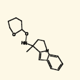 CC1(NOC2CCCCO2)CCn2c1cc1ccccc12